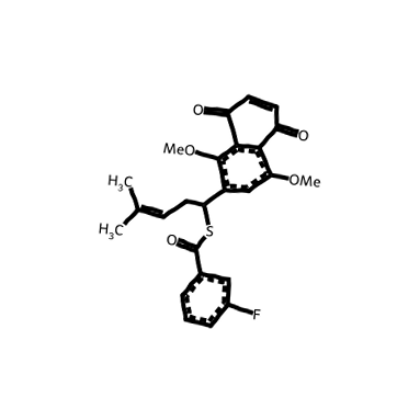 COc1cc(C(CC=C(C)C)SC(=O)c2cccc(F)c2)c(OC)c2c1C(=O)C=CC2=O